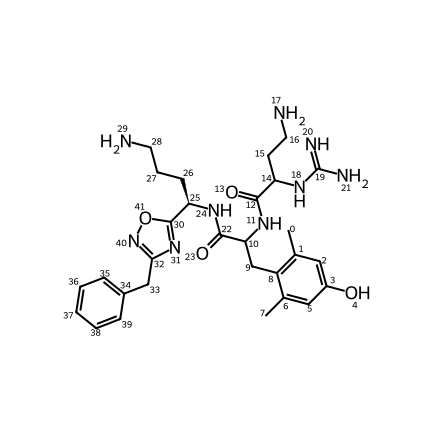 Cc1cc(O)cc(C)c1CC(NC(=O)C(CCN)NC(=N)N)C(=O)N[C@H](CCCN)c1nc(Cc2ccccc2)no1